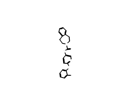 O=C(Nc1ccc(Oc2ccccc2F)nc1)N1CCc2ccccc2CC1